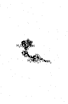 C=C/C(=C(\C=C/NC(=O)COCCOCCN)C(=O)OCC#Cc1cn([C@H]2C[C@@H](OC(=O)c3ccccc3C(C)N)C(COP(=O)(O)OP(=O)(O)OP(=O)(O)O)O2)c2ncnc(N)c12)C(C)N